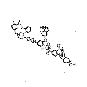 COc1cc(CN2CCN(C3CC4(C3)CN(c3ccc(C(=O)NS(=O)(=O)c5ccc(NCC6CCC(C)(O)CC6)c([N+](=O)[O-])c5)c(Oc5cnc6[nH]ccc6c5)c3)C4)[C@H](c3ccccc3C(C)C)C2)ccc1C